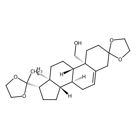 CC1([C@H]2CC[C@H]3[C@@H]4CC=C5CC6(CC[C@]5(CO)[C@H]4CC[C@]23C)OCCO6)OCCO1